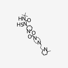 Cc1cccc(CCN2CCN(C(=O)Oc3ccc(N(S)C(=O)NC(C)(C)C)cn3)CC2)n1